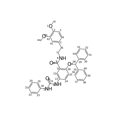 COc1ccc(CCNC(=O)c2cc(NC(=O)Nc3ccccc3)ccc2OC(c2ccccc2)c2ccccc2)cc1OC